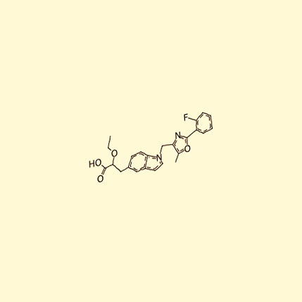 CCOC(Cc1ccc2c(ccn2Cc2nc(-c3ccccc3F)oc2C)c1)C(=O)O